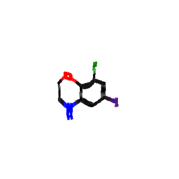 Fc1cc(I)cc2c1OCCN2